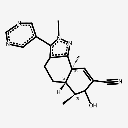 C[C@@H]1C(O)C(C#N)=C[C@]2(C)c3nn(C)c(-c4cncnc4)c3CC[C@@H]12